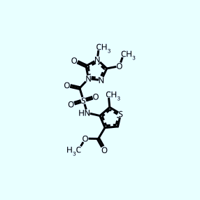 COC(=O)c1csc(C)c1NS(=O)(=O)C(=O)n1nc(OC)n(C)c1=O